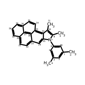 Cc1cc(C)cc(-n2c(C)c(C)c3c4ccc5cccc6ccc(cc32)c4c65)c1